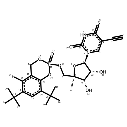 C#Cc1cn([C@@H]2O[C@](F)(COP3(=O)OCc4c(F)c(C(C)(C)C)cc(C(C)(C)C)c4O3)[C@@H](O)[C@H]2O)c(=O)[nH]c1=S